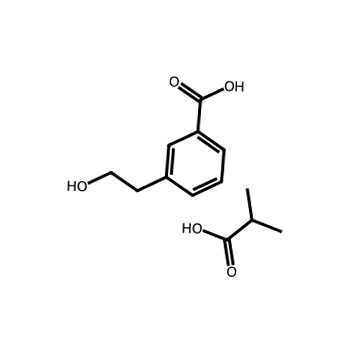 CC(C)C(=O)O.O=C(O)c1cccc(CCO)c1